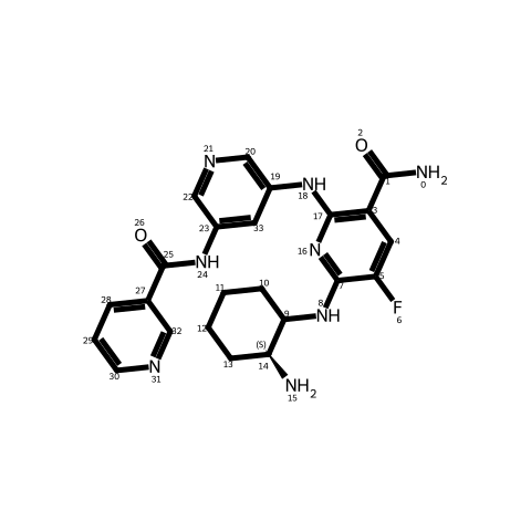 NC(=O)c1cc(F)c(NC2CCCC[C@@H]2N)nc1Nc1cncc(NC(=O)c2cccnc2)c1